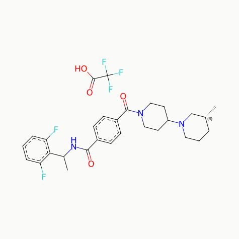 CC(NC(=O)c1ccc(C(=O)N2CCC(N3CCC[C@@H](C)C3)CC2)cc1)c1c(F)cccc1F.O=C(O)C(F)(F)F